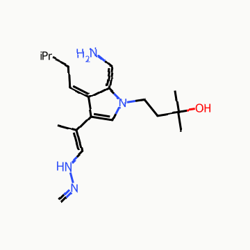 C=NN/C=C(\C)c1cn(CCC(C)(C)O)c(=C/N)/c1=C\CC(C)C